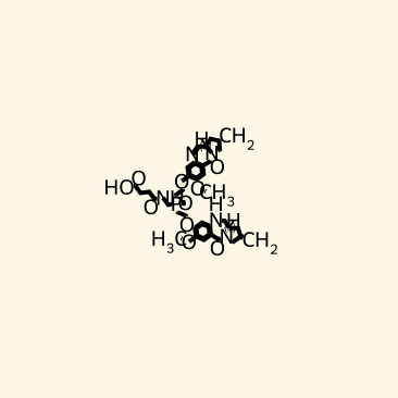 C=C1C[C@H]2CNc3cc(OCCP(=O)(CCOc4cc5c(cc4OC)C(=O)N4CC(=C)C[C@H]4C=N5)CNC(=O)CCC(=O)O)c(OC)cc3C(=O)N2C1